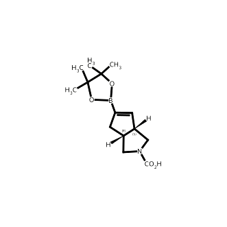 CC1(C)OB(C2=C[C@@H]3CN(C(=O)O)C[C@@H]3C2)OC1(C)C